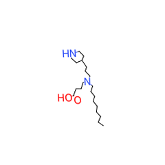 CCCCCCCCCN(CCCC(=O)O)CCCC1CCNCC1